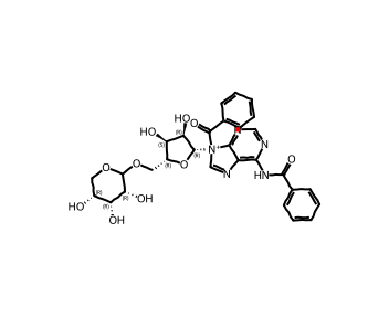 O=C(Nc1ncnc2c1N=C[N+]2(C(=O)c1ccccc1)[C@@H]1O[C@H](COC2OC[C@@H](O)[C@@H](O)[C@H]2O)[C@@H](O)[C@H]1O)c1ccccc1